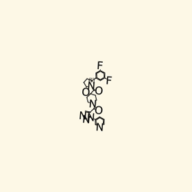 O=C(c1cnnn1-c1cccnc1)N1CCC2(CC1)OC1CC[C@@H](c3cc(F)cc(F)c3)N1C2=O